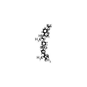 Cc1noc(-c2ccc(S(=O)(=O)N3CCN(CC(C)Nc4ncnc5c(OC(F)F)cccc45)CC3)s2)c1C